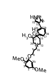 COc1ccc(OC)c(OCCCN2CCC(C)(c3cccc(-c4c[nH]nn4)c3)C(C)C2)c1